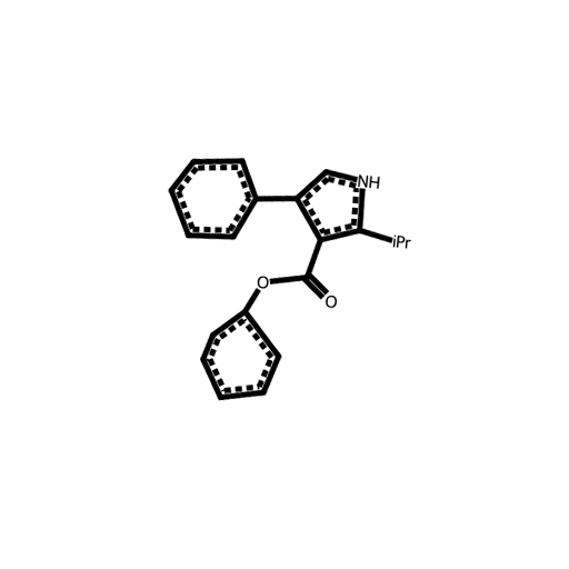 CC(C)c1[nH]cc(-c2ccccc2)c1C(=O)Oc1ccccc1